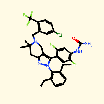 CCc1cccc(CC)c1-n1nc2c(c1-c1cc(F)c(NC(N)=O)cc1F)CN(Cc1cc(Cl)ccc1C(F)(F)F)C(C)(C)C2